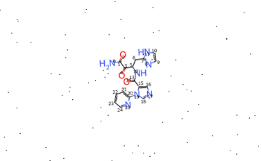 NC(=O)C(=O)C(Cc1ncc[nH]1)NC(=O)c1cncn1-c1ccccn1